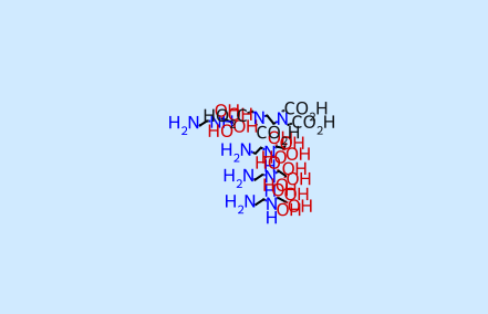 NCCNC(O)C(O)(O)O.NCCNC(O)C(O)(O)O.NCCNC(O)C(O)(O)O.NCCNC(O)C(O)(O)O.O=C(O)CN(CCN(CC(=O)O)CC(=O)O)CC(=O)O